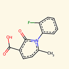 Cc1ccc(C(=O)O)c(=O)n1-c1ccccc1F